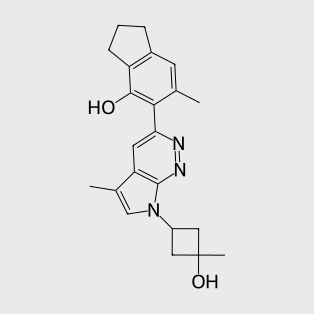 Cc1cc2c(c(O)c1-c1cc3c(C)cn(C4CC(C)(O)C4)c3nn1)CCC2